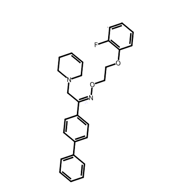 Fc1[c]cccc1OCCO/N=C(\CN1CC=CCC1)c1ccc(-c2ccccc2)cc1